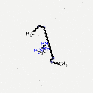 CCCCC/C=C\C/C=C\CCCCCCCCC(CCCCCCCC/C=C\C/C=C\CCCCC)NCC/C(=C/N)NC